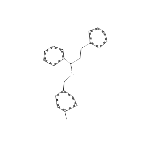 Brc1ccc(CNC(CCc2ccccc2)c2ccccc2)cc1